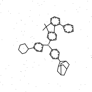 CC1(C)c2cc(N(c3ccc(C4CCCCC4)cc3)c3ccc(C4C5CC6CC(C5)CC4C6)cc3)ccc2-c2c(-c3ccccc3)cccc21